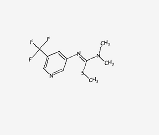 CSC(=Nc1cncc(C(F)(F)F)c1)N(C)C